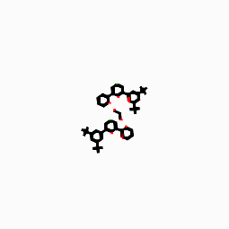 CC(C)(C)c1cc(-c2cc(F)cc(-c3ccccc3OCCCOc3ccccc3-c3cc(F)cc(-c4cc(C(C)(C)C)cc(C(C)(C)C)c4)c3O)c2O)cc(C(C)(C)C)c1